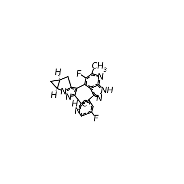 Cc1nc2[nH]nc(C)c2c(-c2c(-c3ccc(F)cn3)nn3c2C[C@@H]2C[C@@H]23)c1F